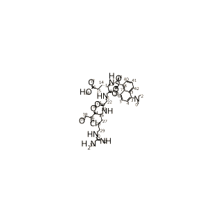 CN(C)c1cccc2c(S(=O)(=O)N[C@@H](CCC(=O)O)C(=O)NCC(=O)N[C@@H](CCCNC(=N)N)C(=O)C(Cl)C=O)cccc12